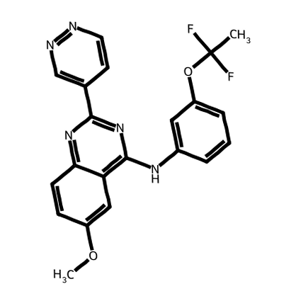 COc1ccc2nc(-c3ccnnc3)nc(Nc3cccc(OC(C)(F)F)c3)c2c1